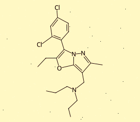 CCCN(CCC)Cc1c(C)nn2c(-c3ccc(Cl)cc3Cl)c(CC)oc12